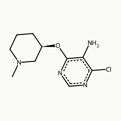 CN1CCC[C@@H](Oc2ncnc(Cl)c2N)C1